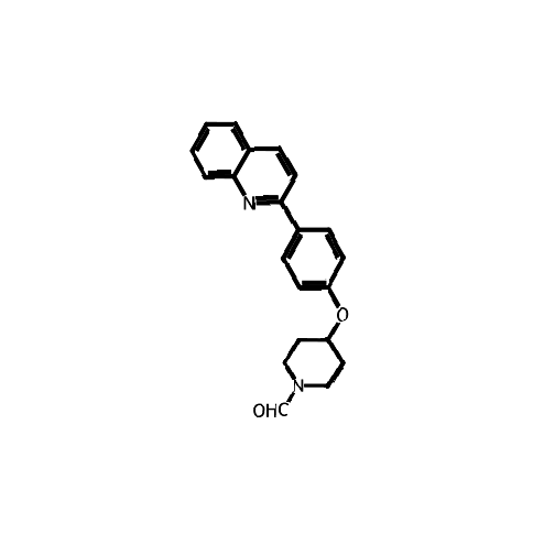 O=CN1CCC(Oc2ccc(-c3ccc4ccccc4n3)cc2)CC1